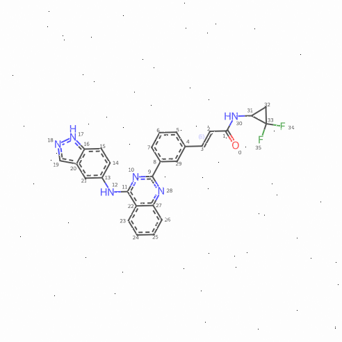 O=C(/C=C/c1cccc(-c2nc(Nc3ccc4[nH]ncc4c3)c3ccccc3n2)c1)NC1CC1(F)F